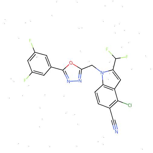 N#Cc1ccc2c(cc(C(F)F)n2Cc2nnc(-c3cc(F)cc(F)c3)o2)c1Cl